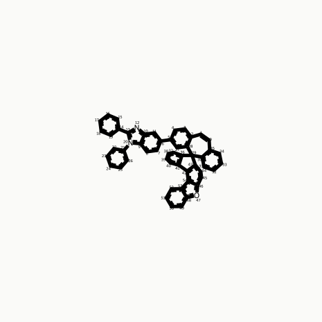 C1=Cc2ccc(-c3ccc4c(c3)nc(-c3ccccc3)n4-c3ccccc3)cc2C2(c3ccccc31)c1ccccc1-c1c2ccc2oc3ccccc3c12